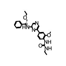 CCNC(=O)Nc1ccc(-c2cncc(N[C@@H](COCC)c3ccccc3)n2)cc1OC